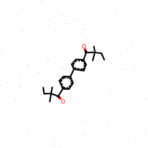 CCC(C)(C)C(=O)c1ccc(-c2ccc(C(=O)C(C)(C)CC)cc2)cc1